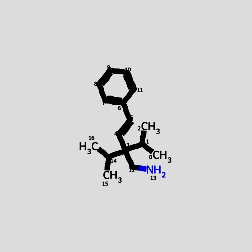 CC(C)C(C=Cc1ccccc1)(CN)C(C)C